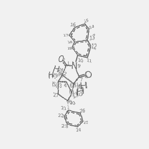 O=C1[C@@H]2[C@H]3C[C@@H]([C@@H]2C(=O)N1c1ccc2ccccc2c1)[C@H](c1ccccc1)C3